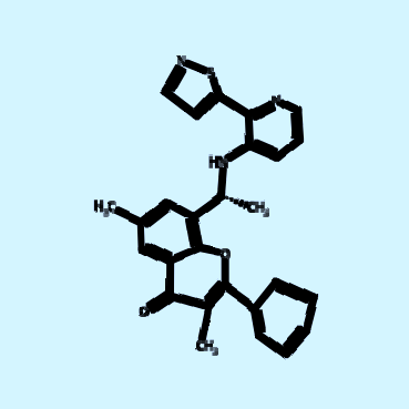 Cc1cc([C@@H](C)Nc2cccnc2-c2ccns2)c2oc(-c3ccccc3)c(C)c(=O)c2c1